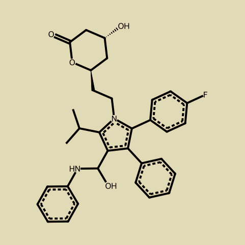 CC(C)c1c(C(O)Nc2ccccc2)c(-c2ccccc2)c(-c2ccc(F)cc2)n1CC[C@@H]1C[C@@H](O)CC(=O)O1